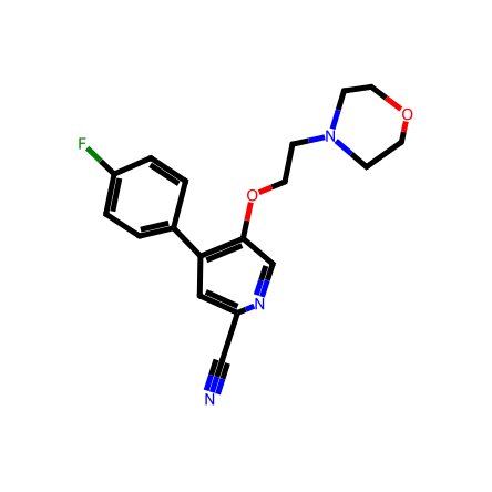 N#Cc1cc(-c2ccc(F)cc2)c(OCCN2CCOCC2)cn1